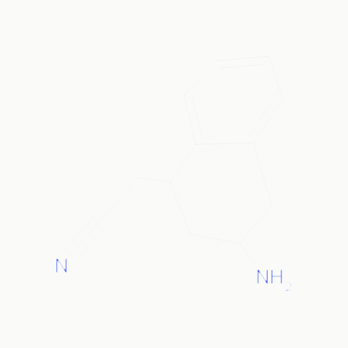 N#CCC1CC(N)Cc2ccccc21